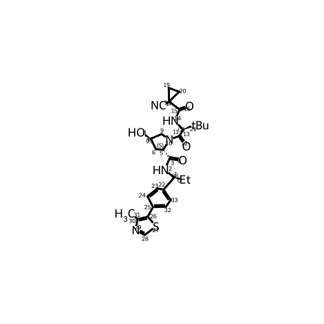 CC[C@H](NC(=O)[C@@H]1C[C@@H](O)CN1C(=O)[C@@H](NC(=O)C1(C#N)CC1)C(C)(C)C)c1ccc(-c2scnc2C)cc1